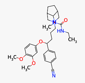 CCNC(=O)N(C)C1C2CCC1CN(CCCC(Oc1ccc(OC)c(OC)c1)c1ccc(C#N)cc1)C2